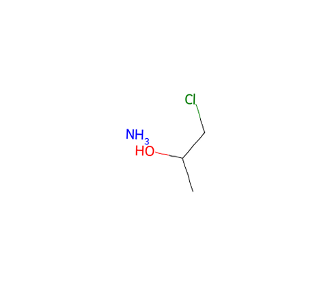 CC(O)CCl.N